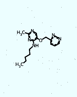 CCCCCNc1nc(C)ncc1OCc1cccnn1